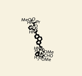 COC(=O)NC(C(=O)N1CCCC1c1ncc(-c2ccc3c(c2)CCc2cc(-c4cnc([C@@H]5[C@H]6CC[C@H](C6)N5N(C(=O)OC)C(C=O)[C@@H](C)OC)[nH]4)ccc2-3)[nH]1)C(C)C